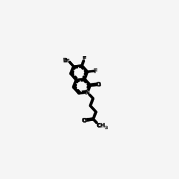 CC(=O)CCCn1ccc2cc(Br)c(F)c(F)c2c1=O